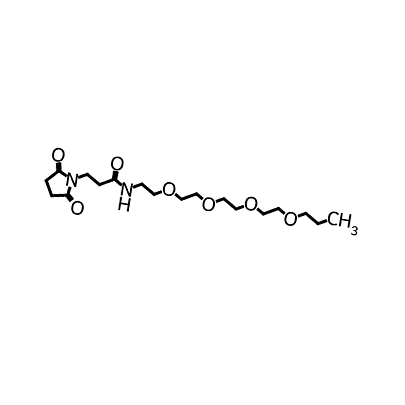 CCCOCCOCCOCCOCCNC(=O)CCN1C(=O)CCC1=O